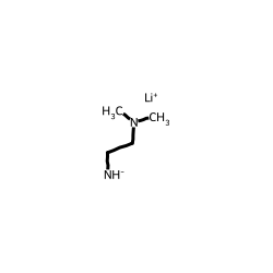 CN(C)CC[NH-].[Li+]